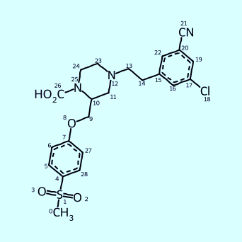 CS(=O)(=O)c1ccc(OCC2CN(CCc3cc(Cl)cc(C#N)c3)CCN2C(=O)O)cc1